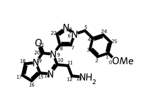 COc1ccc(Cn2cc(-n3c(CCN)nc4cccn4c3=O)cn2)cc1